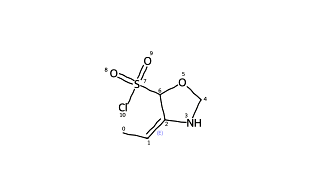 C/C=C1/NCOC1S(=O)(=O)Cl